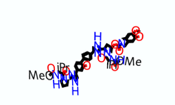 COC(=O)N[C@H](C(=O)N1CC(OC(=O)N2Cc3cc4c(cc3C2)OCO4)CC1c1nc(-c2ccc3c(c2)oc2cc(-c4c[nH]c([C@@H]5CCCN5C(=O)[C@@H](NC(=O)OC)C(C)C)n4)ccc23)c[nH]1)C(C)C